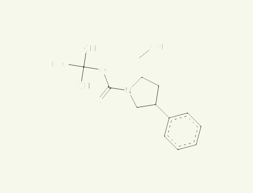 CC(C)(C)OC(=O)N1CC(c2ccccc2)C[C@H]1CO